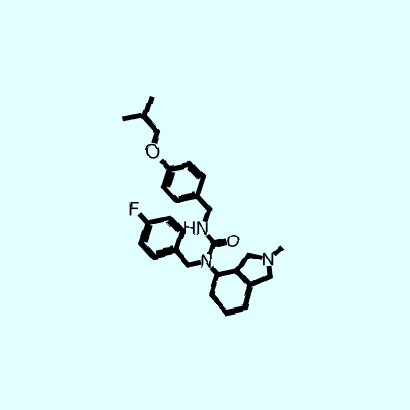 CC(C)COc1ccc(CNC(=O)N(Cc2ccc(F)cc2)C2CCCC3CN(C)CC32)cc1